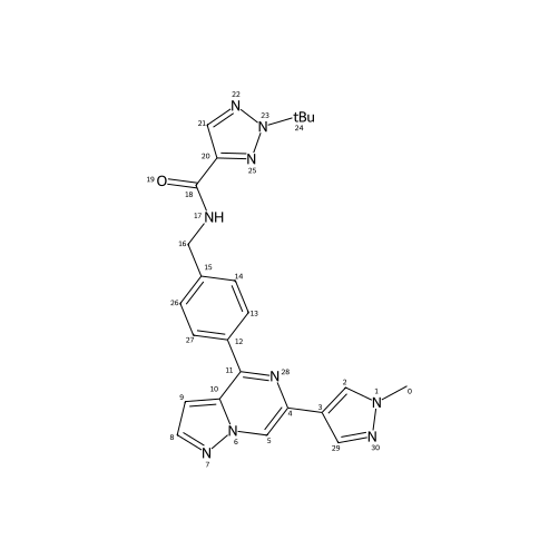 Cn1cc(-c2cn3nccc3c(-c3ccc(CNC(=O)c4cnn(C(C)(C)C)n4)cc3)n2)cn1